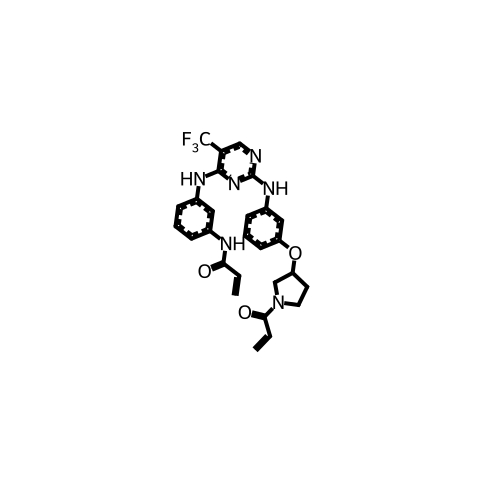 C=CC(=O)Nc1cccc(Nc2nc(Nc3cccc(OC4CCN(C(=O)C=C)C4)c3)ncc2C(F)(F)F)c1